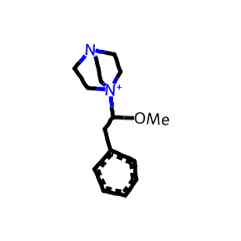 COC(Cc1ccccc1)[N+]12CCN(CC1)CC2